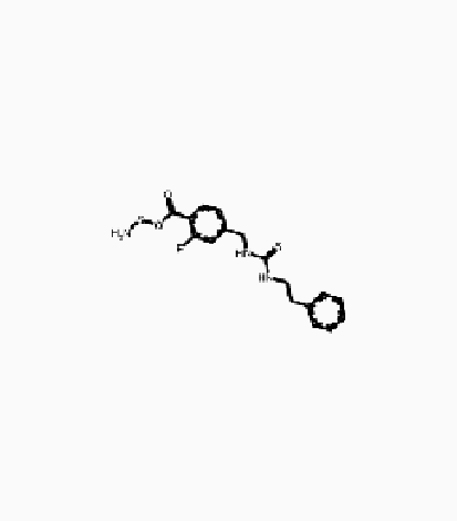 NSOC(=O)c1ccc(CNC(=S)NCCc2ccccc2)cc1F